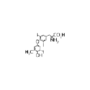 Cc1cc(Oc2c(I)cc(C[C@H](N)C(=O)O)cc2I)cc(I)c1O